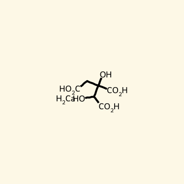 O=C(O)CC(O)(C(=O)O)C(O)C(=O)O.[CaH2]